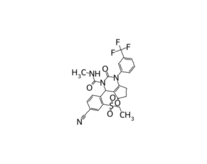 CCS(=O)(=O)c1cc(C#N)ccc1C1C2=C(CCC2=O)N(c2cccc(C(F)(F)F)c2)C(=O)N1C(=O)NC